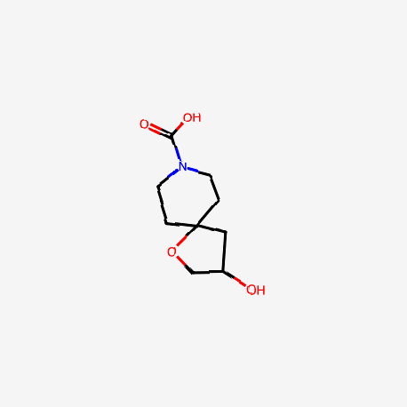 O=C(O)N1CCC2(CC1)CC(O)CO2